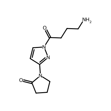 NCCCC(=O)n1ccc(N2CCCC2=O)n1